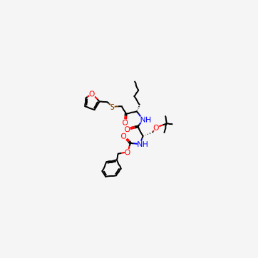 CCCC[C@H](NC(=O)[C@H](COC(C)(C)C)NC(=O)OCc1ccccc1)C(=O)CSCc1ccco1